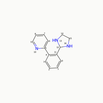 [c]1cccc(-c2ccccn2)c1C1NCCN1